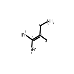 CC(CN)=C(C(C)C)C(C)C